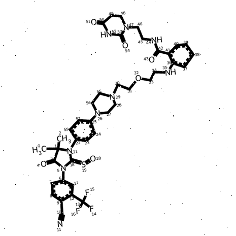 CC1(C)C(=O)N(c2ccc(C#N)c(C(F)(F)F)c2)C(=S=O)N1c1ccc(N2CCN(CCOCCNc3ccccc3C(=O)NCCN3CCC(=O)NC3=O)CC2)cc1